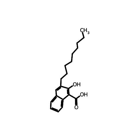 CCCCCCCCCc1cc2ccccc2c(C(=O)O)c1O